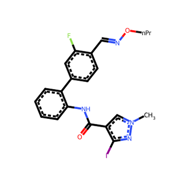 CCCO/N=C/c1ccc(-c2ccccc2NC(=O)c2cn(C)nc2I)cc1F